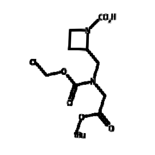 CC(C)(C)OC(=O)CN(CC1CCN1C(=O)O)C(=O)OCCl